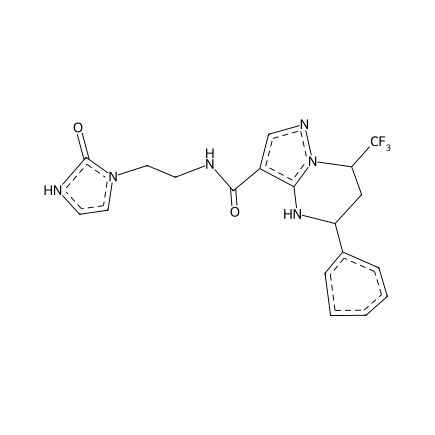 O=C(NCCn1cc[nH]c1=O)c1cnn2c1NC(c1ccccc1)CC2C(F)(F)F